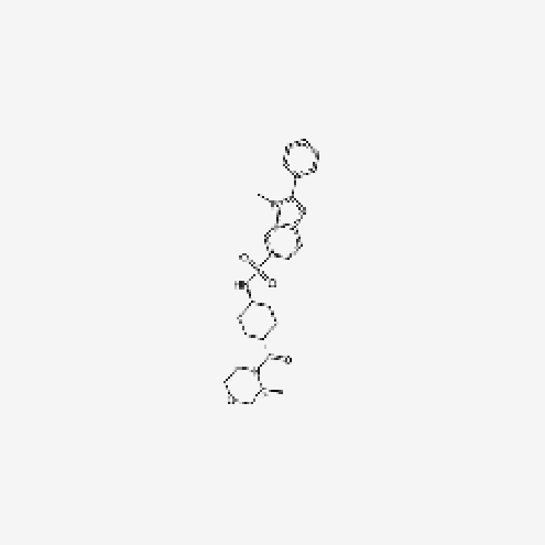 C[C@H]1COCCN1C(=O)[C@H]1CC[C@H](NS(=O)(=O)c2ccc3cc(-c4ccccc4)n(C)c3c2)CC1